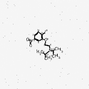 CC(C)N(CCOc1cc([N+](=O)[O-])ccc1I)C(C)C